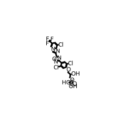 O=P(O)(O)OCC(O)COc1cc(Cl)c(-c2noc(-c3cn4cc(C(F)(F)F)cc(Cl)c4n3)n2)cc1Cl